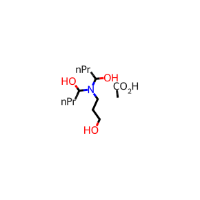 CC(=O)O.CCCC(O)N(CCCO)C(O)CCC